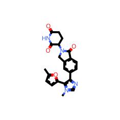 Cc1ccc(-c2c(-c3ccc4c(c3)CN(C3CCC(=O)NC3=O)C4=O)ncn2C)o1